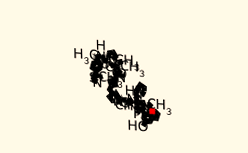 CCc1cccc2cc(O)cc(-c3ncc4c(N5CC6CCC(C5)N6)nc(OC[C@H]5CN(CC6CN(c7cc([C@@H](C(=O)N8CCC[C@H]8C(=O)N[C@@H](C)c8ccc(-c9scnc9C)cc8)C(C)C)on7)C6)CCN5C)nc4c3F)c12